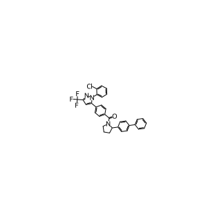 O=C(c1ccc(-c2cc(C(F)(F)F)nn2-c2ccccc2Cl)cc1)N1CCCC1c1ccc(-c2ccccc2)cc1